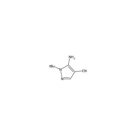 CC(C)(C)n1ncc(C#N)c1N